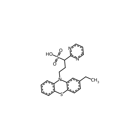 CCc1ccc2c(c1)N(CCC(c1ncccn1)S(=O)(=O)O)c1ccccc1S2